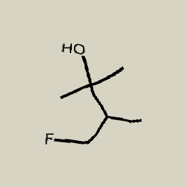 CC(CF)C(C)(C)O